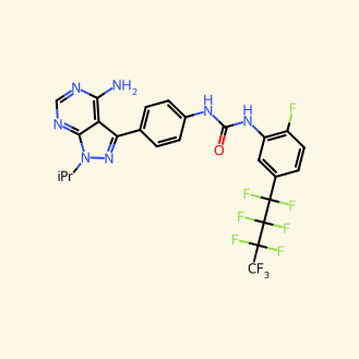 CC(C)n1nc(-c2ccc(NC(=O)Nc3cc(C(F)(F)C(F)(F)C(F)(F)C(F)(F)F)ccc3F)cc2)c2c(N)ncnc21